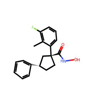 Cc1c(F)cccc1[C@]1(C(=O)NO)CC[C@H](c2ccccc2)C1